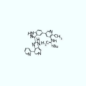 C=C(CCCC)Nc1cc(-c2ccc3[nH]nc(-c4nc5c(-c6ccccn6)cncc5[nH]4)c3c2)cnc1C